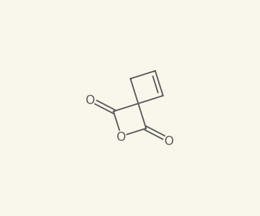 O=C1OC(=O)C12C=CC2